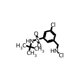 CC(C)(C)NS(=O)(=O)c1cc(Cl)cc(CNCl)c1